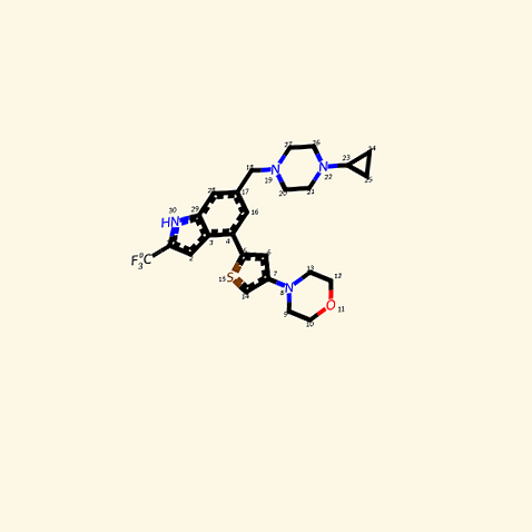 FC(F)(F)c1cc2c(-c3cc(N4CCOCC4)cs3)cc(CN3CCN(C4CC4)CC3)cc2[nH]1